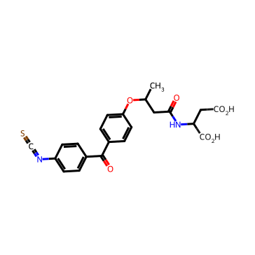 CC(CC(=O)NC(CC(=O)O)C(=O)O)Oc1ccc(C(=O)c2ccc(N=C=S)cc2)cc1